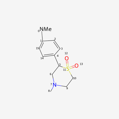 CNc1ccc(C2CN(C)CCS2(=O)=O)cc1